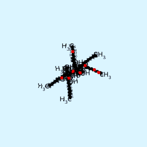 CCCCCCCCCCCC(=O)O[C@H](CCCCCCCCCCC)CC(=O)OC1C(OP(=O)(O)O)C(CO)O[C@@H](OCC2OC(OP(C)(=O)O)[C@@H](NC(=O)C[C@H](O)CCCCCCCCCCC)C(OC(=O)C[C@H](O)CCCCCCCCCCC)[C@@H]2O)[C@H]1NC(=O)C[C@H](O)CCCCCCCCCCC